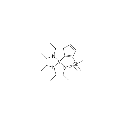 CC[N](CC)[V]([C]1=C([Si](C)(C)C)C=CC1)([N](CC)CC)[N](CC)CC